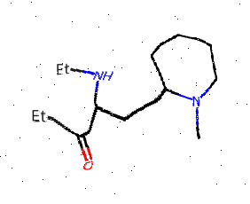 CCNC(CC1CCCCN1C)C(=O)CC